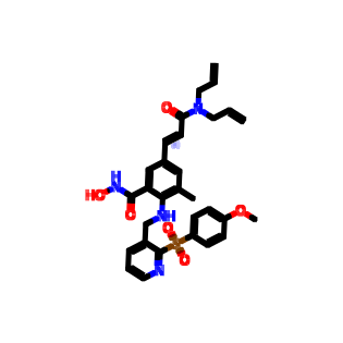 C=CCN(CC=C)C(=O)/C=C/c1cc(C)c(NCc2cccnc2S(=O)(=O)c2ccc(OC)cc2)c(C(=O)NO)c1